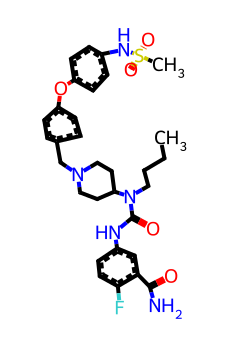 CCCCN(C(=O)Nc1ccc(F)c(C(N)=O)c1)C1CCN(Cc2ccc(Oc3ccc(NS(C)(=O)=O)cc3)cc2)CC1